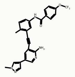 Cc1ccc(NC(=O)c2ccc(OC(F)(F)F)cc2)cc1C#Cc1cc(-c2cnn(C)c2)cnc1N